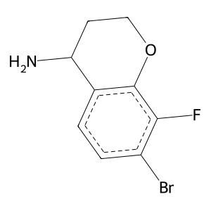 NC1CCOc2c1ccc(Br)c2F